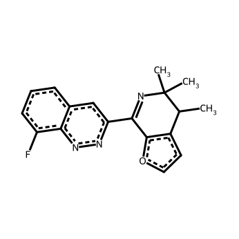 CC1c2ccoc2C(c2cc3cccc(F)c3nn2)=NC1(C)C